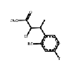 COC(=O)C(Cl)C(C)c1c[c]c(F)cc1C#N